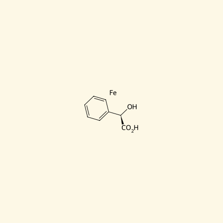 O=C(O)[C@H](O)c1ccccc1.[Fe]